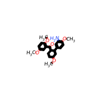 COc1ccc(OC)c(C(=O)C2CCC(OC)CC2c2ccc(OC)c(N)c2)c1